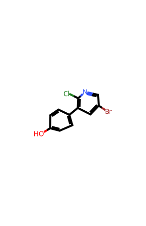 Oc1ccc(-c2cc(Br)cnc2Cl)cc1